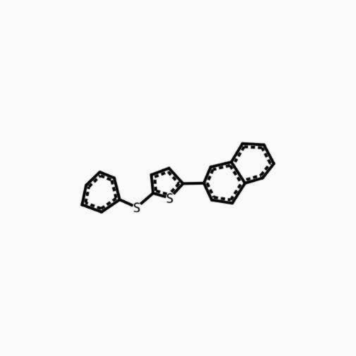 c1ccc(Sc2ccc(-c3ccc4ccccc4c3)s2)cc1